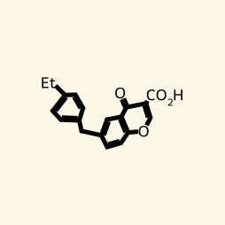 CCc1ccc(Cc2ccc3occ(C(=O)O)c(=O)c3c2)cc1